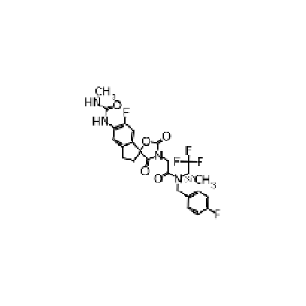 CNC(=O)Nc1cc2c(cc1F)C1(CC2)OC(=O)N(CC(=O)N(Cc2ccc(F)cc2)[C@@H](C)C(F)(F)F)C1=O